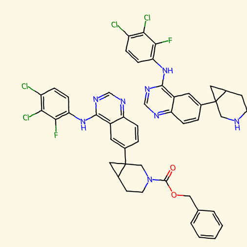 Fc1c(Nc2ncnc3ccc(C45CNCCC4C5)cc23)ccc(Cl)c1Cl.O=C(OCc1ccccc1)N1CCC2CC2(c2ccc3ncnc(Nc4ccc(Cl)c(Cl)c4F)c3c2)C1